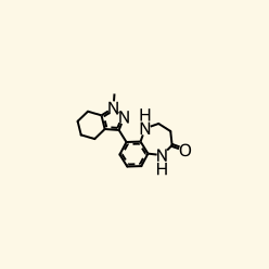 Cn1nc(-c2cccc3c2NCCC(=O)N3)c2c1CCCC2